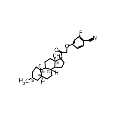 C[C@H]1CC[C@]2(F)C3CC[C@@]4(C)C(CC[C@@H]4C(=O)COc4ccc(C#N)c(F)c4)[C@@H]3CC[C@@H]2C1